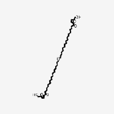 O=C(CCCCCCCCC=CCCCCCCCCOCCCCCCCCC=CCCCCCCCCC(=O)c1ccc(CO)o1)c1ccc(CO)o1